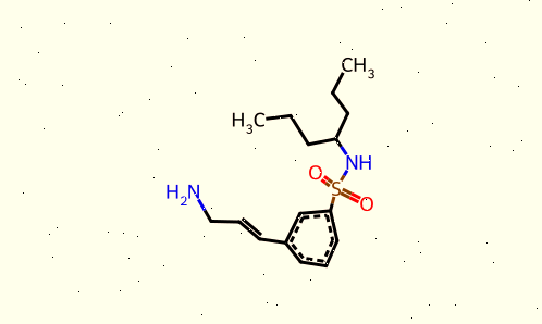 CCCC(CCC)NS(=O)(=O)c1cccc(C=CCN)c1